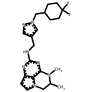 CC1Cn2ccc3nc(NCc4cnn(CC5CCC(F)(F)CC5)c4)nc(c32)N1C